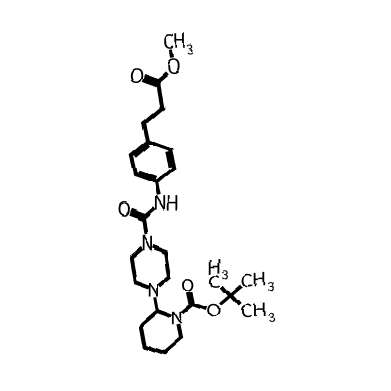 COC(=O)CCc1ccc(NC(=O)N2CCN(C3CCCCN3C(=O)OC(C)(C)C)CC2)cc1